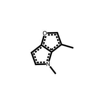 Cc1coc2ccn(C)c12